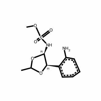 COS(=O)(=O)N[C@@H]1OC(C)O[C@@H]1c1ccccc1N